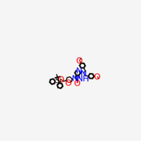 COc1ccc(CN(Cc2ccc(OC)cc2)c2nccc3c2[nH]c(=O)n3C2CCC(CO[Si](c3ccccc3)(c3ccccc3)C(C)(C)C)OC2)cc1